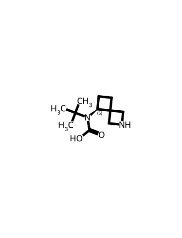 CC(C)(C)N(C(=O)O)[C@H]1CCC12CNC2